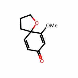 COC1=CC(=O)C=CC12CCCO2